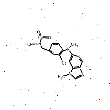 CCc1cc(CN(N)[SH](=O)=O)ccc1N(C)c1cc2c(cn1)ncn2C